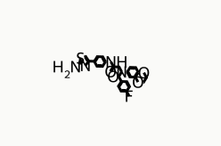 Nc1nc(-c2ccc(NC(=O)CN(C(=O)c3ccc(F)cc3)c3ccc4c(c3)OCCO4)cc2)cs1